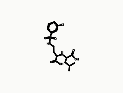 CC(C)CC(NC(CCNS(=O)(=O)c1cccc(Cl)c1)C(=O)O)C(=O)O